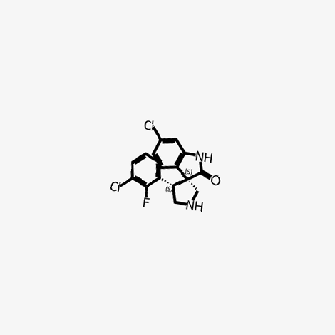 O=C1Nc2cc(Cl)ccc2[C@@]12CNC[C@@H]2c1cccc(Cl)c1F